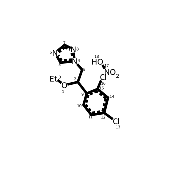 CCOC(Cn1cncn1)c1ccc(Cl)cc1Cl.O=[N+]([O-])O